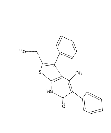 O=c1[nH]c2sc(CO)c(-c3ccccc3)c2c(O)c1-c1ccccc1